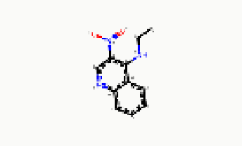 CCNc1c([N+](=O)[O-])cnc2ccccc12